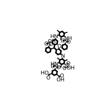 Cc1cc(C)c(NS(=O)(=O)c2ccccc2)c(C)c1Nc1ccc2c(-c3ccccc3S(=O)(=O)O)c3cc/c(=N\c4c(C)c(NS(=O)(=O)c5cc(C(=O)O)cc(C(=O)O)c5)c(C)c(S(=O)(=O)O)c4C)cc-3oc2c1